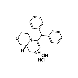 C1=C(C(c2ccccc2)c2ccccc2)N2CCOC[C@H]2CN1.Cl.Cl